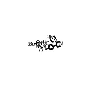 CC(C)(C)c1nc(C(=O)NCc2ccc(-c3ccncc3N3CCNCC3)cc2C(F)(F)F)no1